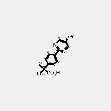 CCCc1cnc(-c2ccc([C@@](C)(Cl)C(=O)O)cc2)nc1